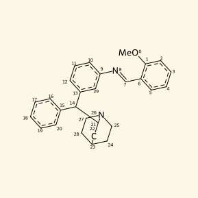 COc1ccccc1C=Nc1cccc(C(c2ccccc2)C2CC3CCN2CC3)c1